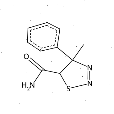 CC1(c2ccccc2)N=NSC1C(N)=O